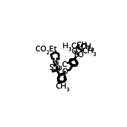 CCOC(=O)C1CCN(c2nc(-c3cc(C)ccc3OCc3ccc(B4OC(C)(C)C(C)(C)O4)cc3C)cs2)CC1